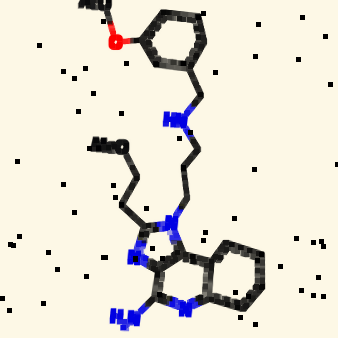 COCCc1nc2c(N)nc3ccccc3c2n1CCCNCc1cccc(OOC(C)=O)c1